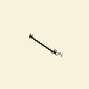 C=CC(=O)OCCCCCCCCCCCCCCCCCCCC[Si](I)(I)I